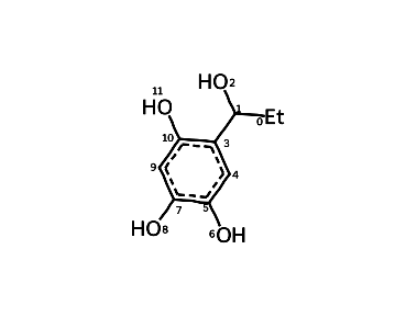 CCC(O)c1cc(O)c(O)cc1O